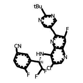 CC(C)(C)c1ncc(-c2nc3c(N[C@@H](c4cc(C#N)ccc4F)C(F)F)c(Cl)cnc3cc2F)cn1